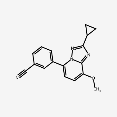 COc1ccc(-c2cccc(C#N)c2)n2nc(C3CC3)nc12